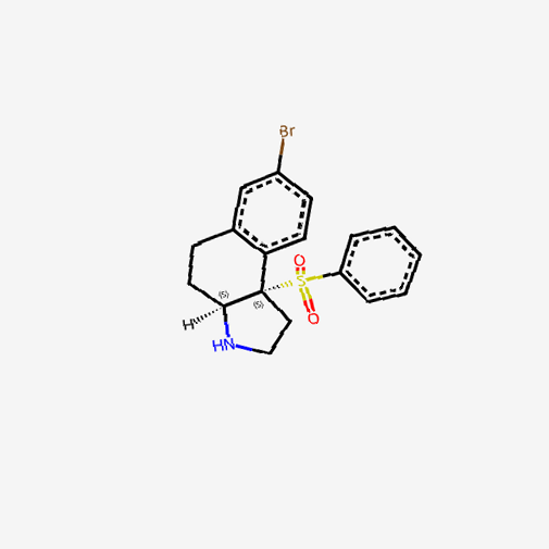 O=S(=O)(c1ccccc1)[C@]12CCN[C@H]1CCc1cc(Br)ccc12